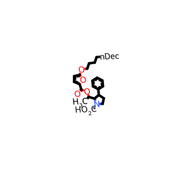 CCCCCCCCCCCCCCOc1ccc(C(=O)OC(C)C2C(c3ccccc3)CCN2C(=O)O)o1